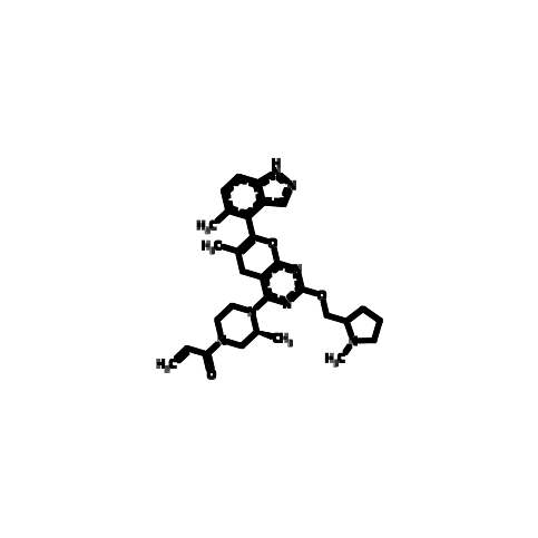 C=CC(=O)N1CCN(c2nc(OCC3CCCN3C)nc3c2CC(C)=C(c2c(C)ccc4[nH]ncc24)O3)[C@@H](C)C1